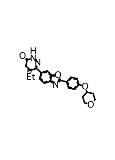 CC[C@@H]1CC(=O)NN=C1c1ccc2nc(-c3ccc(OC4CCOCC4)cc3)oc2c1